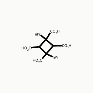 CCCC1(C(=O)O)C(C(=O)O)C(CCC)(C(=O)O)C1C(=O)O